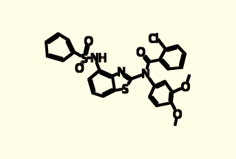 COc1ccc(N(C(=O)c2ccccc2Cl)c2nc3c(NS(=O)(=O)c4ccccc4)cccc3s2)cc1OC